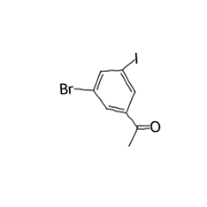 CC(=O)c1cc(Br)cc(I)c1